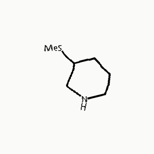 CSC1CCCNC1